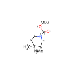 CNC1(C)CCN(C(=O)OC(C)(C)C)CC1